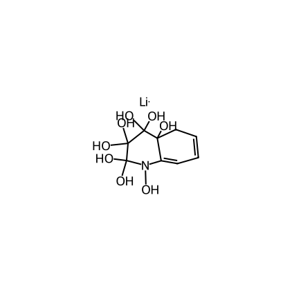 ON1C2=CC=CCC2(O)C(O)(O)C(O)(O)C1(O)O.[Li]